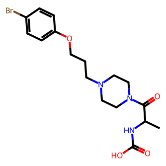 CC(NC(=O)O)C(=O)N1CCN(CCCOc2ccc(Br)cc2)CC1